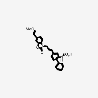 COC=Cc1ccc2c(c1)oc(=O)n2CC=Cc1ccc(-c2ccccc2)c(NC(=O)O)c1